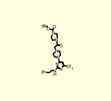 CC(C)CCNc1nc(N2CCN(CC(=O)N3CCN(C(=O)OC(C)(C)C)CC3)CC2)cc(C(F)(F)F)n1